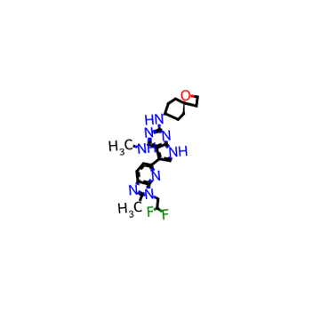 CNc1nc(N[C@H]2CC[C@@]3(CCO3)CC2)nc2[nH]cc(-c3ccc4nc(C)n(CC(F)F)c4n3)c12